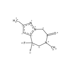 Cc1cc2n(n1)CC(=O)N(C)CC2(F)F